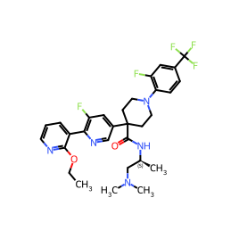 CCOc1ncccc1-c1ncc(C2(C(=O)N[C@@H](C)CN(C)C)CCN(c3ccc(C(F)(F)F)cc3F)CC2)cc1F